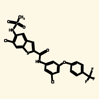 CS(=O)(=O)Nc1cc2cc(C(=O)Nc3cc(Cl)cc(Oc4ccc(C(F)(F)F)cc4)c3)sc2cc1Cl